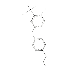 OCCc1ccc(Oc2ccc(Cl)c(C(F)(F)F)c2)cc1